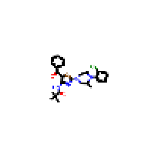 CC1CN(c2nc(NC(=O)C(C)(C)C)c(C(=O)c3ccccc3)s2)CCN1c1ccccc1Cl